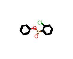 O=S(Oc1ccccc1)c1ccccc1Cl